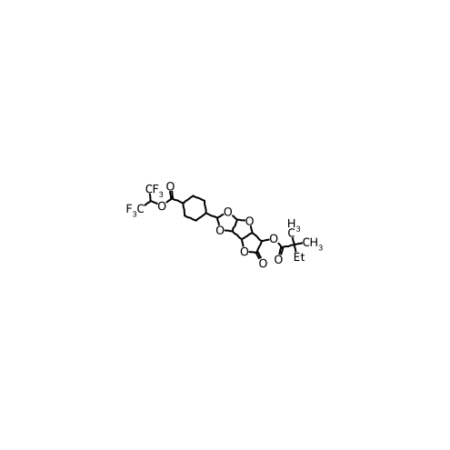 CCC(C)(C)C(=O)OC1C(=O)OC2C3OC(C4CCC(C(=O)OC(C(F)(F)F)C(F)(F)F)CC4)OC3OC12